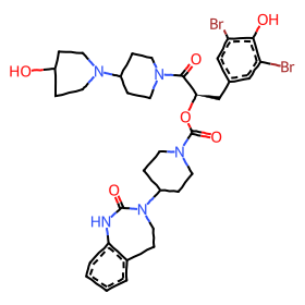 O=C(O[C@H](Cc1cc(Br)c(O)c(Br)c1)C(=O)N1CCC(N2CCC(O)CC2)CC1)N1CCC(N2CCc3ccccc3NC2=O)CC1